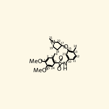 COc1cc(C)c(S(=O)(=O)Nc2ccc(C)c(OC3CCN(C)C3)c2)cc1OC